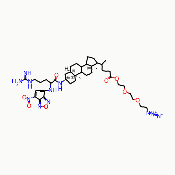 CC(CCC(=O)OCCOCCOCCN=[N+]=[N-])C1CCC2C3CC[C@@H]4C[C@H](NC(=O)C(CCCNC(=N)N)Nc5ccc([N+](=O)[O-])c6nonc56)CC[C@]4(C)C3CC[C@]12C